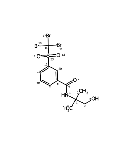 CC(C)(CO)NC(=O)c1cccc(S(=O)(=O)C(Br)(Br)Br)c1